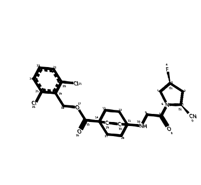 N#C[C@@H]1C[C@H](F)CN1C(=O)CNC12CCC(C(=O)OCc3c(Cl)cccc3Cl)(CC1)CC2